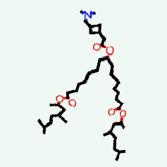 CC(C)CCC(C)CC(C)OC(=O)CCCCCCCC(CCCCCCCC(=O)OC(C)CC(C)CCC(C)C)OC(=O)CC1CC(CN(C)C)C1